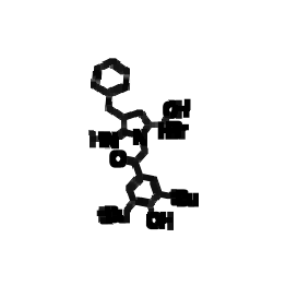 Br.CC(C)(C)c1cc(C(=O)CN2C(=N)C(Cc3ccccc3)CC2CO)cc(C(C)(C)C)c1O